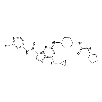 O=C(NC1CCCC1)N[C@H]1CC[C@H](Nc2cc(NC3CC3)c3ncc(C(=O)Nc4ccnc(Cl)c4)n3n2)CC1